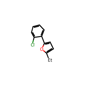 CCc1ccc(-c2ccccc2Cl)o1